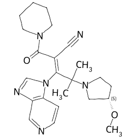 CO[C@H]1CCN(C(C)(C)C(=C(C#N)C(=O)N2CCCCC2)n2cnc3cnccc32)C1